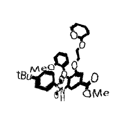 COC(=O)c1cc(NS(=O)(=O)c2ccc(C(C)(C)C)cc2)c(Oc2ccccc2OC)c(OCCOC2CCCCO2)c1